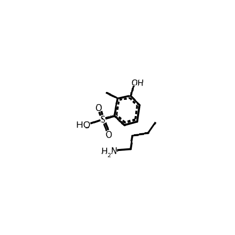 CCCCN.Cc1c(O)cccc1S(=O)(=O)O